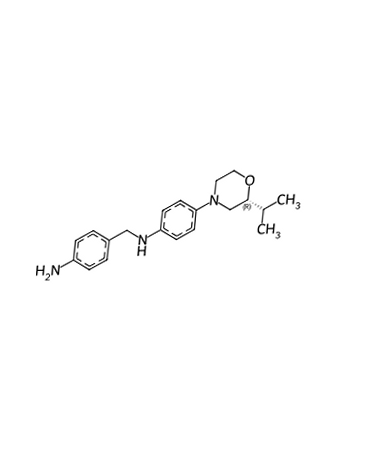 CC(C)[C@@H]1CN(c2ccc(NCc3ccc(N)cc3)cc2)CCO1